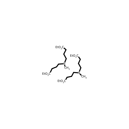 CCOC(=O)CCCN(C)CCCC(=O)OCC.CCOC(=O)CCCN(C)CCCC(=O)OCC